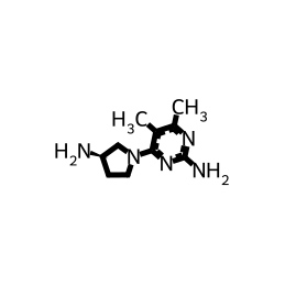 Cc1nc(N)nc(N2CC[C@@H](N)C2)c1C